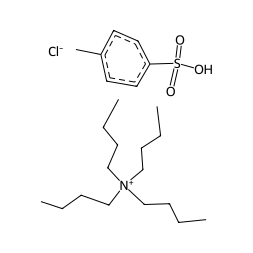 CCCC[N+](CCCC)(CCCC)CCCC.Cc1ccc(S(=O)(=O)O)cc1.[Cl-]